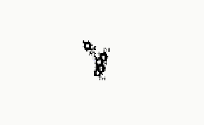 Cc1ccc(S(=O)(=O)N/N=C2/C[C@@H]3[C@H](CC[C@]4(C)[C@@H](O)CC[C@@H]34)c3ccc(O)cc32)cc1